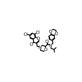 CC(C)CN(Cc1ccc2c(c1)OCCO2)C(=O)C1CN(Cc2coc3c(Cl)cc(Cl)cc3c2=O)CCO1